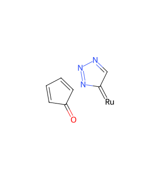 O=C1C=CC=C1.[Ru]=[C]1C=NN=N1